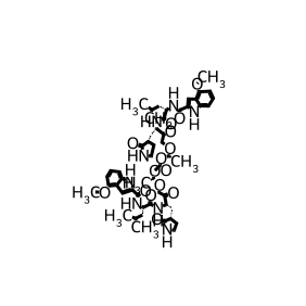 COc1cccc2[nH]c(C(=O)N[C@@H](CC(C)C)C(=O)N[C@@H](C[C@@H]3CCNC3=O)C(=O)CO[C@@H](C)OC(=O)O[C@H](C)OCC(=O)[C@H](C[C@@H]3CCNC3=O)NC(=O)[C@H](CC(C)C)NC(=O)c3cc4c(OC)cccc4[nH]3)cc12